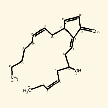 CC/C=C\CC(O)C/C=C1/C(=O)C=CC1C/C=C\CCCCC